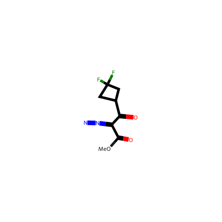 COC(=O)C(=[N+]=[N-])C(=O)C1CC(F)(F)C1